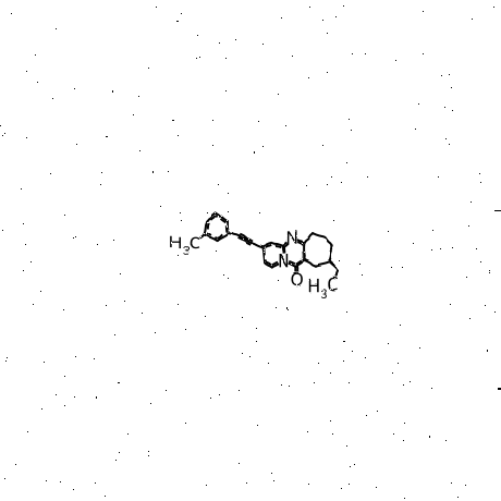 CCC1CCCc2nc3cc(C#Cc4cccc(C)c4)ccn3c(=O)c2C1